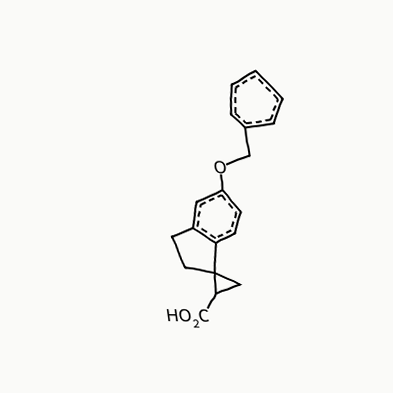 O=C(O)C1CC12CCc1cc(OCc3ccccc3)ccc12